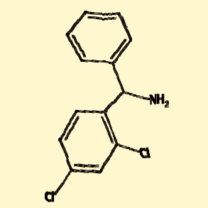 NC(c1ccccc1)c1ccc(Cl)cc1Cl